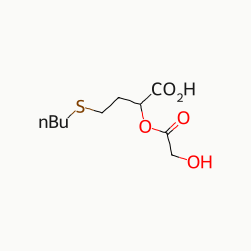 CCCCSCCC(OC(=O)CO)C(=O)O